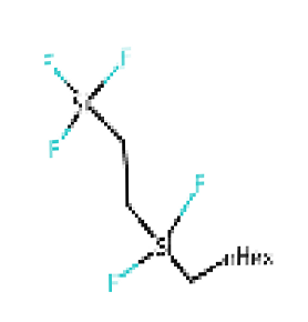 CCCCCCC[Si](F)(F)CC[Si](F)(F)F